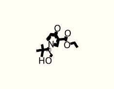 CCOC(=O)c1cn([C@@H](CO)C(C)(C)C)ccc1=O